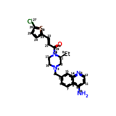 CC[C@H]1CN(Cc2ccc3c(N)ccnc3c2)CCN1C(=O)C=Cc1ccc(Cl)s1